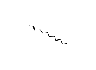 CC=CCCC[CH]CC=CCC